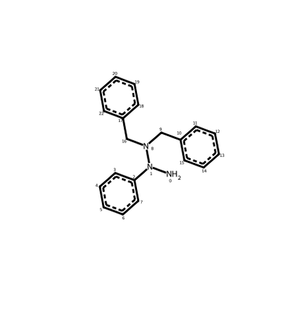 NN(c1ccccc1)N(Cc1ccccc1)Cc1ccccc1